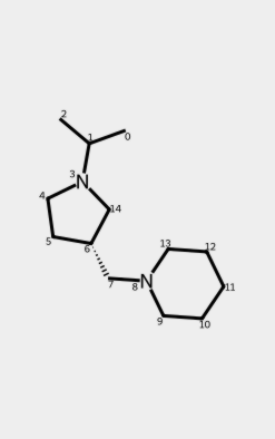 CC(C)N1CC[C@@H](CN2CCCCC2)C1